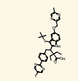 CCC(CC)(C(=O)O)C(Cc1ccc(-c2ncc(F)cn2)cc1)c1[nH]c2ccc(OCc3cnc(C)cn3)cc2c1SC(C)(C)C